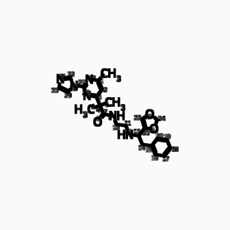 Cc1cc(C(C)(C)C(=O)NCCNC(Cc2ccccc2)C2=COCO2)nc(-n2ccnc2)n1